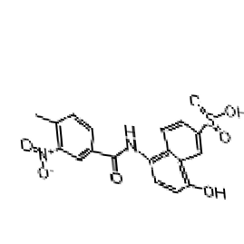 Cc1ccc(C(=O)Nc2ccc(O)c3cc(S(=O)(=O)O)ccc23)cc1[N+](=O)[O-]